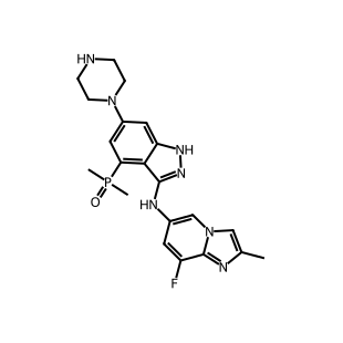 Cc1cn2cc(Nc3n[nH]c4cc(N5CCNCC5)cc(P(C)(C)=O)c34)cc(F)c2n1